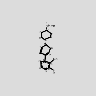 CCCCCC[C@H]1CC[C@H](C2C=CC(c3cccc(F)c3F)=CC2)CC1